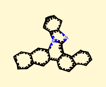 c1ccc2cc3c(cc2c1)c1ccc2ccccc2c1c1nc2ccccc2n31